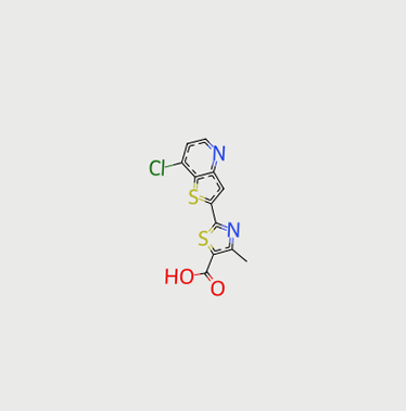 Cc1nc(-c2cc3nccc(Cl)c3s2)sc1C(=O)O